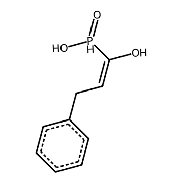 O=[PH](O)C(O)=CCc1ccccc1